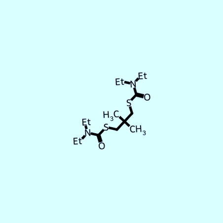 CCN(CC)C(=O)SCC(C)(C)CSC(=O)N(CC)CC